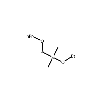 CCCO[CH][Si](C)(C)OCC